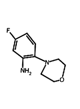 Nc1cc(F)ccc1N1CCOCC1